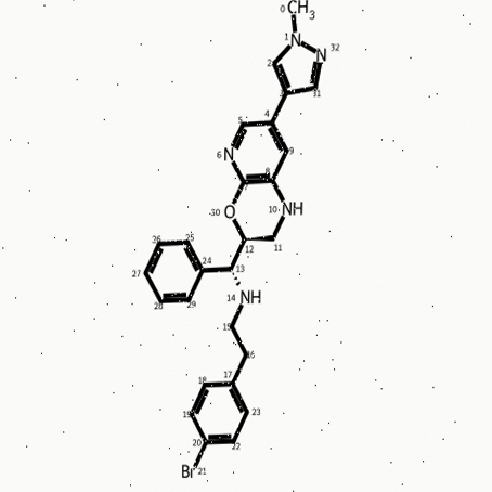 Cn1cc(-c2cnc3c(c2)NC[C@@H]([C@H](NCCc2ccc(Br)cc2)c2ccccc2)O3)cn1